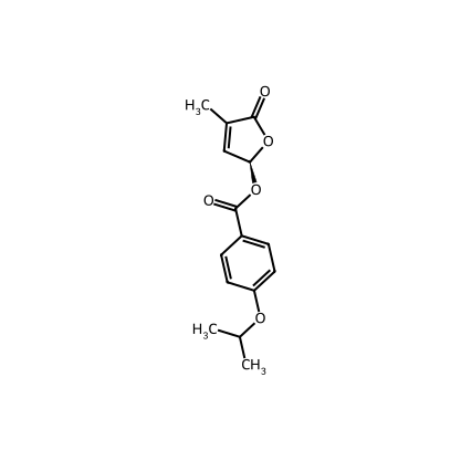 CC1=C[C@H](OC(=O)c2ccc(OC(C)C)cc2)OC1=O